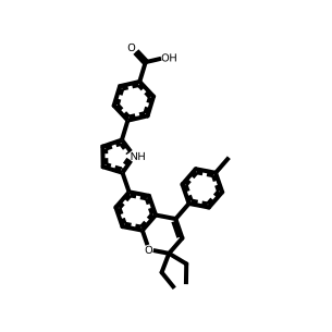 CCC1(CC)C=C(c2ccc(C)cc2)c2cc(-c3ccc(-c4ccc(C(=O)O)cc4)[nH]3)ccc2O1